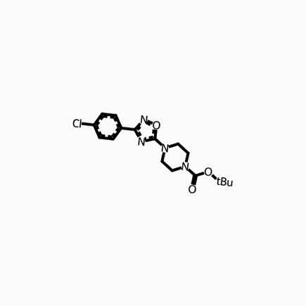 CC(C)(C)OC(=O)N1CCN(c2nc(-c3ccc(Cl)cc3)no2)CC1